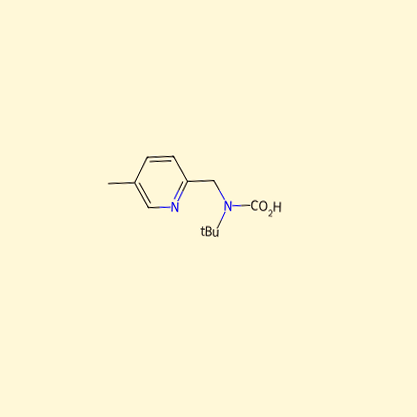 Cc1ccc(CN(C(=O)O)C(C)(C)C)nc1